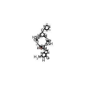 Nc1nc2c(ncn2[C@@H]2O[C@@H]3CO[P@@](=O)(S)O[C@H]4C[C@H](Oc5ccncn5)C[C@@H]4CO[P@@](=O)(S)O[C@@H]2[C@@H]3F)c(=O)[nH]1